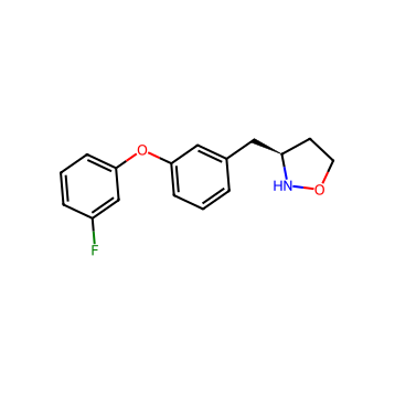 Fc1cccc(Oc2cccc(C[C@H]3CCON3)c2)c1